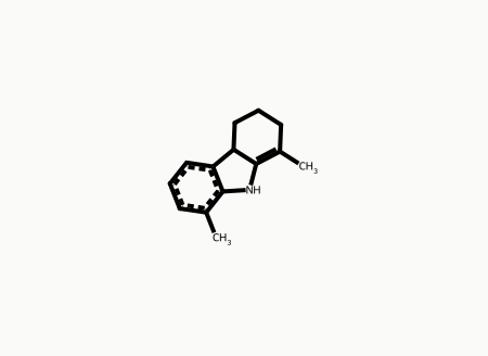 CC1=C2Nc3c(C)cccc3C2CCC1